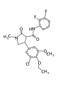 CCOc1c(Cl)cc(C2CN(C)C(=O)C2C(=O)Nc2cccc(F)c2F)cc1OC